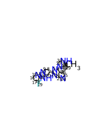 C[C@H]1CN(c2nc(-c3ccnc(Nc4ncccc4F)c3)nc3cncc(C4CC4)c23)CCN1